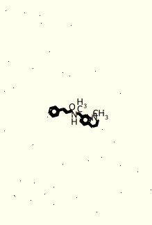 CC(NC(=O)C=Cc1ccccc1)c1ccc2c(c1)N(C)CCC2